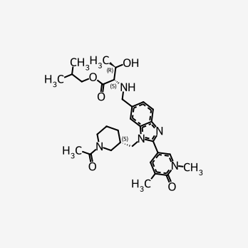 CC(=O)N1CCC[C@H](Cn2c(-c3cc(C)c(=O)n(C)c3)nc3ccc(CN[C@H](C(=O)OCC(C)C)[C@@H](C)O)cc32)C1